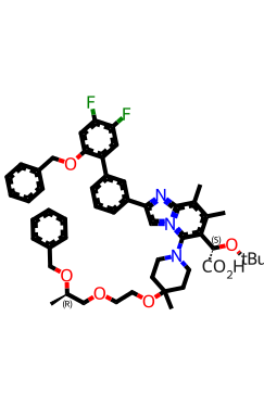 Cc1c([C@H](OC(C)(C)C)C(=O)O)c(N2CCC(C)(OCCOC[C@@H](C)OCc3ccccc3)CC2)n2cc(-c3cccc(-c4cc(F)c(F)cc4OCc4ccccc4)c3)nc2c1C